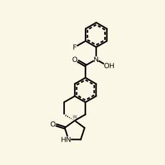 O=C(c1ccc2c(c1)CC[C@@]1(CCNC1=O)C2)N(O)c1ccccc1F